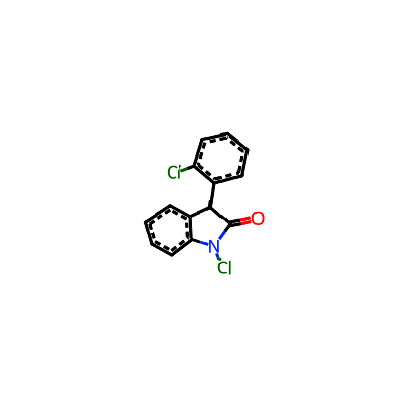 O=C1C(c2ccccc2Cl)c2ccccc2N1Cl